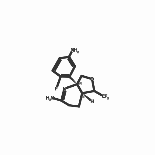 NC1=N[C@@]2(c3cc(N)ccc3F)COC(C(F)(F)F)[C@H]2CC1